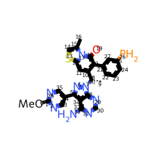 COc1ncc(-c2nn([C@@H](C)c3cc4scc(C)n4c(=O)c3-c3cccc(P)c3)c3ncnc(N)c23)cn1